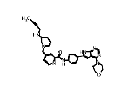 CC#CCNC1CCCN(Cc2ccnc(C(=O)Nc3ccc(-c4cc5c(N6CCOCC6)ncnc5[nH]4)cc3)c2)C1